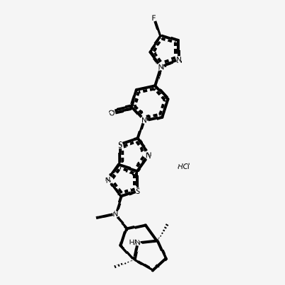 CN(c1nc2sc(-n3ccc(-n4cc(F)cn4)cc3=O)nc2s1)C1C[C@]2(C)CC[C@](C)(C1)N2.Cl